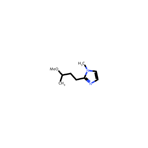 COC(C)CCc1nccn1C